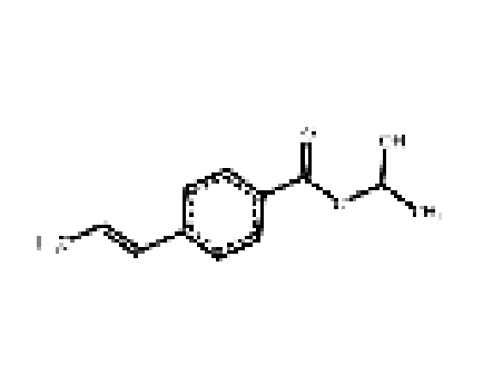 CC=Cc1ccc(C(=O)OC(C)O)cc1